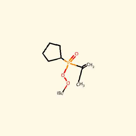 C=C(C)P(=O)(OOC(C)(C)C)C1CCCC1